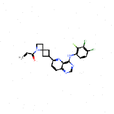 C=CC(=O)N1CCC12CC(c1ccc3ncnc(Nc4ccc(Cl)c(Cl)c4F)c3n1)C2